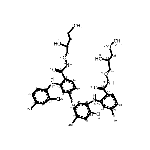 CCCC(O)CONC(=O)c1ccc(F)cc1Nc1ccc(I)cc1Cl.COCC(O)CONC(=O)c1ccc(F)cc1Nc1ccc(I)cc1Cl